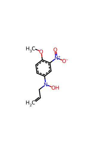 C=CCN(O)c1ccc(OC)c([N+](=O)[O-])c1